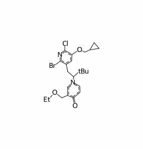 CCOCc1cn(C(Cc2cc(OCC3CC3)c(Cl)nc2Br)C(C)(C)C)ccc1=O